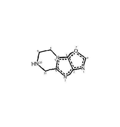 c1nc2nc3n(c2o1)CCNC3